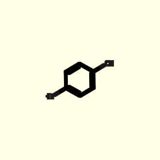 C[CH]c1ccc(C#N)cc1